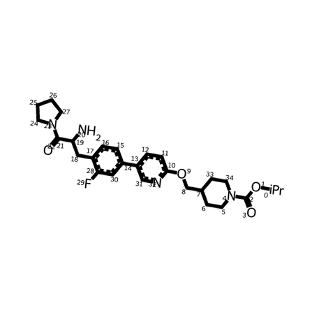 CC(C)OC(=O)N1CCC(COc2ccc(-c3ccc(CC(N)C(=O)N4CCCC4)c(F)c3)cn2)CC1